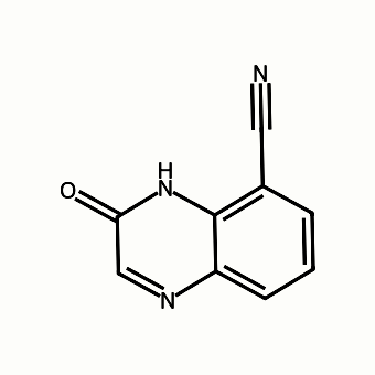 N#Cc1cccc2ncc(=O)[nH]c12